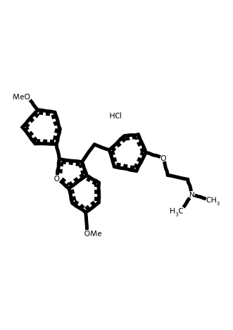 COc1ccc(-c2oc3cc(OC)ccc3c2Cc2ccc(OCCN(C)C)cc2)cc1.Cl